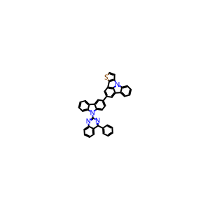 c1ccc(-c2nc(-n3c4ccccc4c4cc(-c5cc6c7ccccc7n7c8ccsc8c(c5)c67)ccc43)nc3ccccc23)cc1